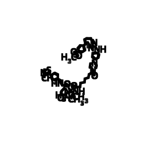 Cc1ncsc1-c1ccc(CNC(=O)[C@@H]2C[C@@H](O)CN2C(=O)[C@@H](NC(=O)CCCCCCC(=O)N2CCN(c3ccc(Nc4nc5cccc(-c6ccc(S(C)(=O)=O)cc6)n5n4)cc3)CC2)C(C)(C)C)cc1